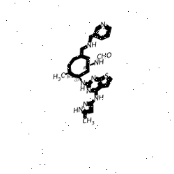 Cc1cc(Nc2nc(N[C@H]3C[C@@H](C)CCC(CNCc4cccnc4)C[C@@H](NC=O)C3)nc3sccc23)n[nH]1